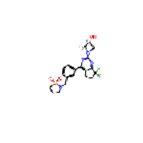 C[C@H]1[C@H](O)CN1c1nc(-c2cccc(CN3CCCS3(=O)=O)c2)c2c(n1)C(F)(F)CC2